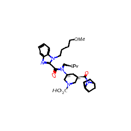 COCCCCn1c(C(=O)N(CC(C)C)[C@H]2C[C@@H](C(=O)N3C4CCC3CC4)CN(C(=O)O)C2)nc2ccccc21